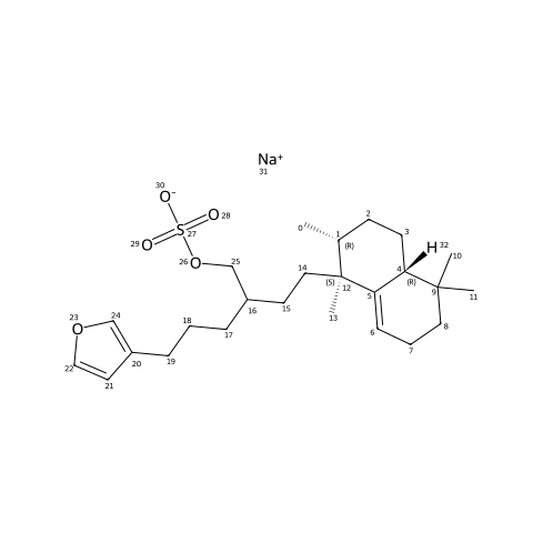 C[C@@H]1CC[C@H]2C(=CCCC2(C)C)[C@@]1(C)CCC(CCCc1ccoc1)COS(=O)(=O)[O-].[Na+]